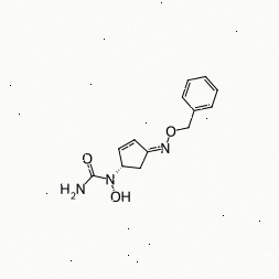 NC(=O)N(O)[C@@H]1C=C/C(=N\OCc2ccccc2)C1